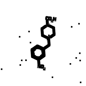 O=C(O)N1CCN(Cc2cccc([N+](=O)[O-])c2)CC1